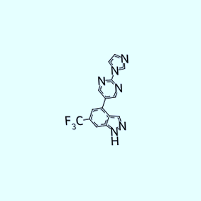 FC(F)(F)c1cc(-c2cnc(-n3ccnc3)nc2)c2cn[nH]c2c1